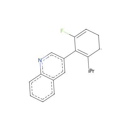 CC(C)C1=C(c2cnc3ccccc3c2)C(F)=CC[CH]1